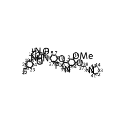 COc1cc2c(Oc3ccc(NC(=O)c4nccn(-c5ccc(F)cc5)c4=O)cc3F)ccnc2cc1OCCCN1CCCCC1